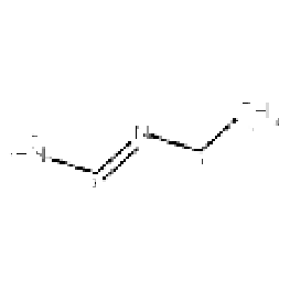 CCN=C[NH]